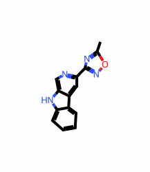 Cc1nc(-c2cc3c(cn2)[nH]c2ccccc23)no1